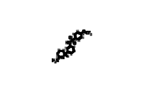 CC1(c2cccc(NS(=O)(=O)c3ccc(OC(F)(F)F)cc3)c2)CCSC(N)=N1